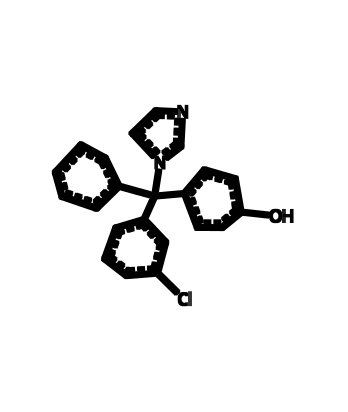 Oc1ccc(C(c2ccccc2)(c2cccc(Cl)c2)n2ccnc2)cc1